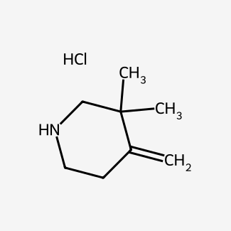 C=C1CCNCC1(C)C.Cl